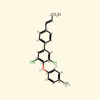 CCOC(=O)C=Cc1ccc(-c2cc(Cl)c(Oc3ccc([N+](=O)[O-])cc3)c(Cl)c2)cc1